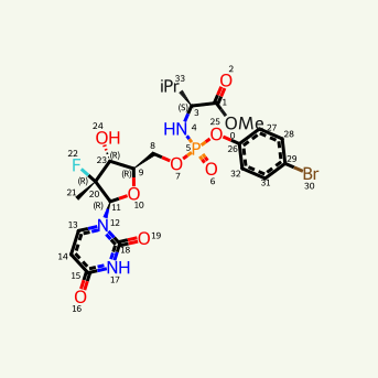 COC(=O)[C@@H](NP(=O)(OC[C@H]1O[C@@H](n2ccc(=O)[nH]c2=O)[C@](C)(F)[C@@H]1O)Oc1ccc(Br)cc1)C(C)C